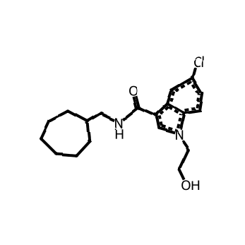 O=C(NCC1CCCCCC1)c1cn(CCO)c2ccc(Cl)cc12